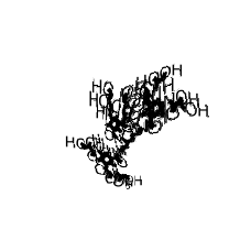 CN(CC(O)CO)C(=O)c1c(I)c(NC(=O)C(O)CO)c(I)c(C(=O)NCCCC(CCCNC(=O)c2c(I)c(NC(=O)C(O)CO)c(I)c(C(=O)N(C)CC(O)CO)c2I)CNC(=O)c2c(I)c(NC(=O)C(O)CO)c(I)c(C(=O)N(C)CC(O)CO)c2I)c1I